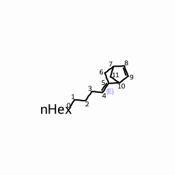 CCCCCCCCC/C=C1\CC2C=CC1C2